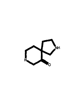 O=C1C[N]CCC12CCNC2